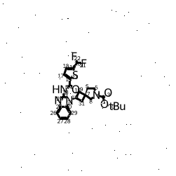 CC(C)(C)OC(=O)N1CC[C@]2(C1)C[C@H](n1c(NC(=O)c3ccc(C(F)F)s3)nc3ccccc31)C2